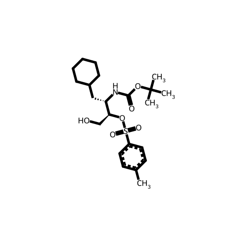 Cc1ccc(S(=O)(=O)O[C@@H](CO)[C@H](CC2CCCCC2)NC(=O)OC(C)(C)C)cc1